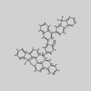 CC1(C)c2ccccc2-c2ccc(-c3c4ccccc4cc4c3oc3ccc(N(c5ccc6c(c5)C(C)(C)c5ccccc5-6)c5cc6ccccc6c6ccccc56)cc34)cc21